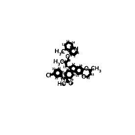 C[C@@H](COc1ccnc2c1[C@H](C)CCC2)C[C@H]1Cc2cc3c(cc2C12CCC(Nc1cccc(Cl)c1)(C(=O)O)CC2)OCC[C@H](C)O3